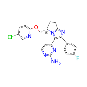 Nc1nccc(-c2c(-c3ccc(F)cc3)nc3n2[C@H](COc2ccc(Cl)cn2)CC3)n1